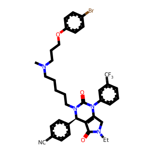 CCN1CC2=C(C1=O)[C@@H](c1ccc(C#N)cc1)N(CCCCCN(C)CCCOc1ccc(Br)cc1)C(=O)N2c1cccc(C(F)(F)F)c1